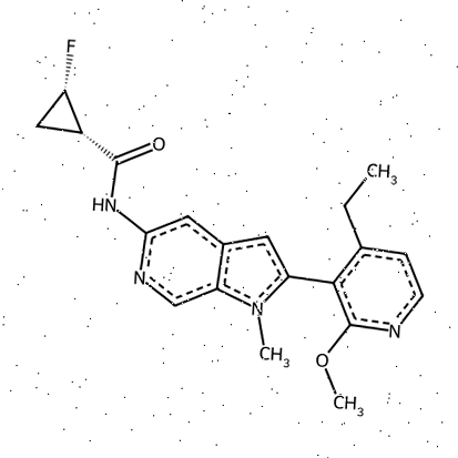 CCc1ccnc(OC)c1-c1cc2cc(NC(=O)[C@@H]3C[C@@H]3F)ncc2n1C